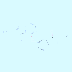 CONC(=O)c1cccc(Oc2ncnn3cc(C(=O)O)c(C(C)C)c23)c1